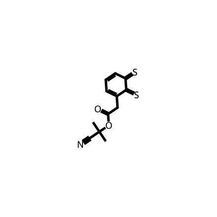 CC(C)(C#N)OC(=O)CC1=CC=CC(=S)C1=S